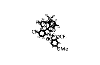 COc1ccc(S(=O)(=O)N2C(=O)C(c3cc(C)ccc3OC)(N3C[C@H](F)C[C@H]3C(=O)N(C)C)c3cc(Cl)ccc32)c(OC(F)(F)F)c1